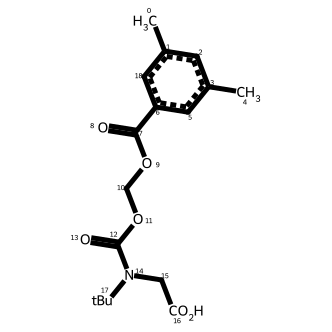 Cc1cc(C)cc(C(=O)OCOC(=O)N(CC(=O)O)C(C)(C)C)c1